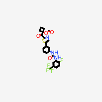 O=COC1(C(=O)c2ncc(-c3cccc(NC(=O)Nc4cc(C(F)(F)F)ccc4F)c3)s2)CCC1